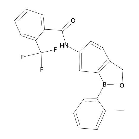 Cc1ccccc1B1OCc2ccc(NC(=O)c3ccccc3C(F)(F)F)cc21